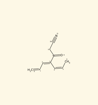 C=C/C=C(\C=C/C)C(=O)CC#N